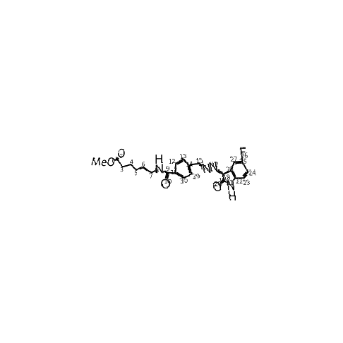 COC(=O)CCCCCNC(=O)c1ccc(C=NN=C2C(=O)Nc3ccc(F)cc32)cc1